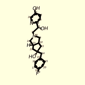 Oc1ccc([C@@H](O)CN2CC3C[C@](O)(Cc4ccc(F)cc4)C[C@@H]3C2)nc1